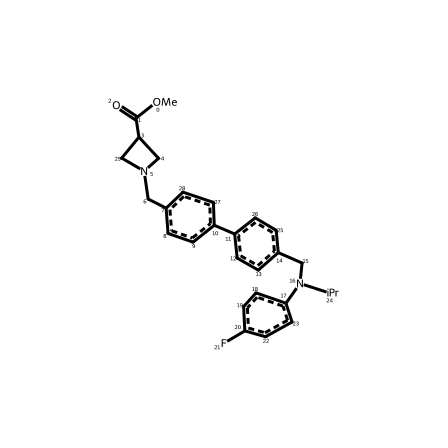 COC(=O)C1CN(Cc2ccc(-c3ccc(CN(c4ccc(F)cc4)C(C)C)cc3)cc2)C1